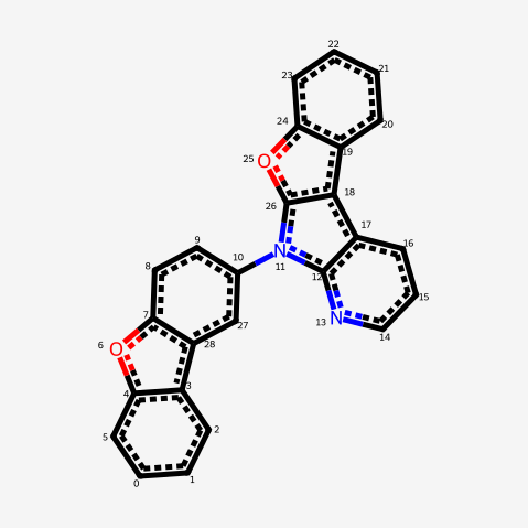 c1ccc2c(c1)oc1ccc(-n3c4ncccc4c4c5ccccc5oc43)cc12